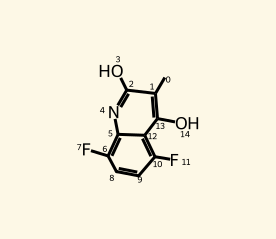 Cc1c(O)nc2c(F)ccc(F)c2c1O